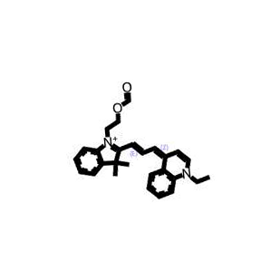 CCN1C=C/C(=C/C=C/C2=[N+](CCOC=O)c3ccccc3C2(C)C)c2ccccc21